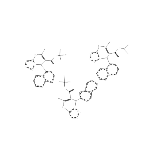 CC1=C(C(=O)OC(C)(C)C)C(c2ccc3ccccc3c2)n2nnnc2N1.CC1=C(C(=O)OC(C)(C)C)C(c2cccc3ccccc23)n2nnnc2N1.CC1=C(C(=O)OC(C)C)C(c2cccc3ccccc23)n2nnnc2N1